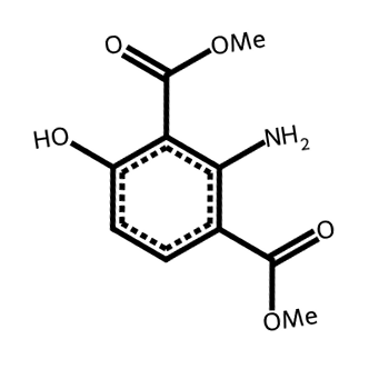 COC(=O)c1ccc(O)c(C(=O)OC)c1N